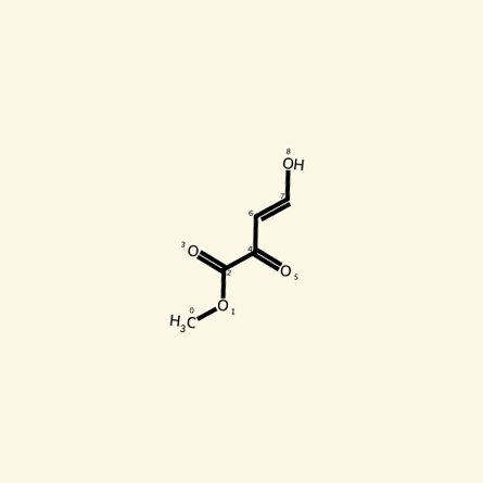 COC(=O)C(=O)/C=C/O